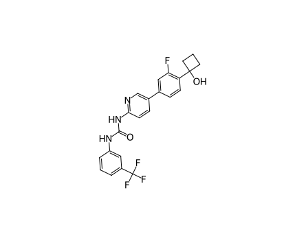 O=C(Nc1cccc(C(F)(F)F)c1)Nc1ccc(-c2ccc(C3(O)CCC3)c(F)c2)cn1